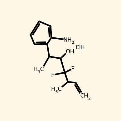 C=CC(C)C(F)(F)C(O)C(C)c1ccccc1N.Cl